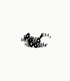 CC#Cc1cc(C)c(-c2cc(C3=CCN(O)C(C(=O)Nc4cccc(C(F)(F)CC)c4)=C(C)N3)ccc2OC)c(C)c1